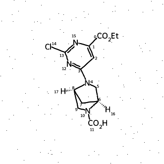 CCOC(=O)c1cc(N2C[C@@H]3C[C@H]2CN3C(=O)O)nc(Cl)n1